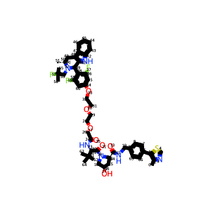 Cc1ncsc1-c1ccc(CNC(=O)[C@@H]2C[C@@H](O)CN2C(=O)[C@@H](NC(=O)COCCOCCOc2cc(F)c(C3c4[nH]c5ccccc5c4C[C@@H](C)N3CC(C)(C)F)c(F)c2)C(C)(C)C)cc1